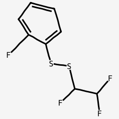 Fc1ccccc1SSC(F)C(F)F